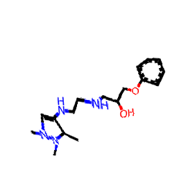 CC1C(NCCNCC(O)COc2ccccc2)=CN(C)N1C